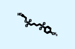 C#CCOS(=O)(=O)CCCCS(=O)(=O)c1ccc(C)cc1